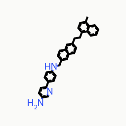 Cc1ccc(CCc2ccc3cc(CNc4ccc(-c5ccc(N)cn5)cc4)ccc3c2)c2ccccc12